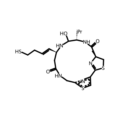 CC(C)[C@@H]1NC(=O)[C@]2(C)CSC(=N2)c2csc(n2)CNC(=O)C[C@@H](/C=C/CCS)NC1O